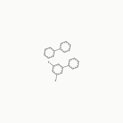 Fc1cc(F)cc(-c2ccccc2)c1.c1ccc(-c2ccccc2)cc1